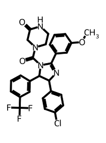 COc1cccc(C2=NC(c3ccc(Cl)cc3)C(c3cccc(C(F)(F)F)c3)N2C(=O)N2CCNC(=O)C2)c1